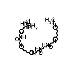 CCCN1CCC(CCCC2CCN(CCC(=O)NCCCNC(=O)CCN3CCC(CCCC4CCN(CCC(=O)NCc5ccc(CNC(N)NCl)cc5)CC4)CC3)CC2)CC1